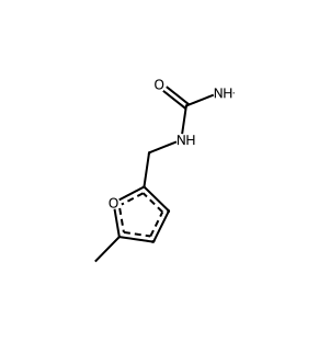 Cc1ccc(CNC([NH])=O)o1